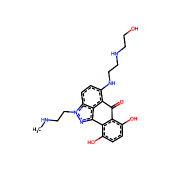 CNCCn1nc2c3c(c(NCCNCCO)ccc31)C(=O)c1c(O)ccc(O)c1-2